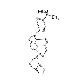 OB(O)c1ccc(-c2ccc3ccc4c(-c5cccc6ccccc56)ccc5ccc2c3c54)cc1